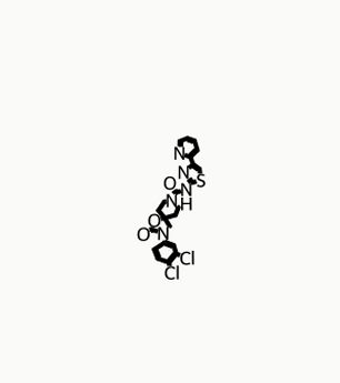 O=C(Nc1nc(-c2ccccn2)cs1)N1CCC2(CC1)CN(c1ccc(Cl)c(Cl)c1)C(=O)O2